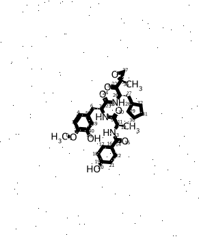 COc1ccc(C[C@H](NC(=O)[C@@H](C)NC(=O)C2CCC(O)CC2)C(=O)N[C@@H](CC2CCCC2)C(=O)[C@@]2(C)CO2)cc1O